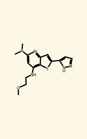 COCCNc1cc(N(C)C)nc2cc(-c3ccn[nH]3)sc12